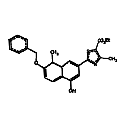 CCOC(=O)c1sc(C2=CC3C(=CC=C(OCc4ccccc4)C3C)C(O)=C2)nc1C